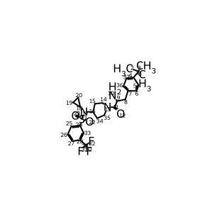 CC(C)(C)c1ccc(CC(N)C(=O)N2CCC(N(C3CC3)S(=O)(=O)c3cccc(C(F)(F)F)c3)CC2)cc1